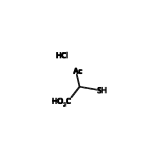 CC(=O)C(S)C(=O)O.Cl